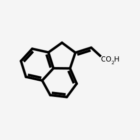 O=C(O)C=C1Cc2cccc3cccc1c23